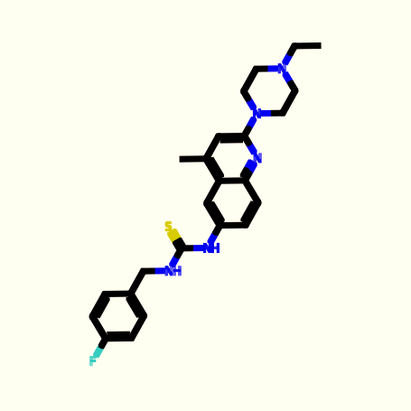 CCN1CCN(c2cc(C)c3cc(NC(=S)NCc4ccc(F)cc4)ccc3n2)CC1